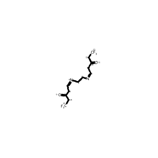 O=C(C/C=N\CC/N=C\CC(=O)CC(F)(F)F)CC(F)(F)F